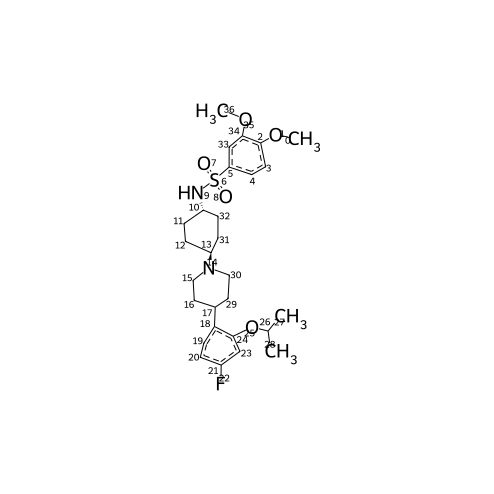 COc1ccc(S(=O)(=O)N[C@H]2CC[C@H](N3CCC(c4ccc(F)cc4OC(C)C)CC3)CC2)cc1OC